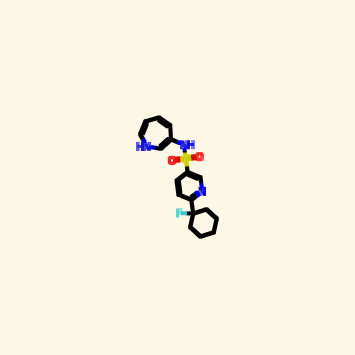 O=S(=O)(NC1=CNC=CC=C1)c1ccc(C2(F)CCCCC2)nc1